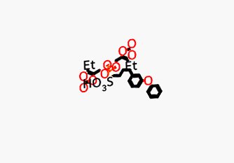 CCc1oc(=O)oc1COP(=O)(OCc1oc(=O)oc1CC)C(CCCc1cccc(Oc2ccccc2)c1)S(=O)(=O)O